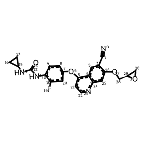 N#Cc1cc2c(Oc3ccc(NC(=O)NC4CC4)c(F)c3)ccnc2cc1OC[C@H]1CO1